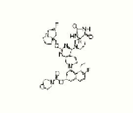 CCc1c(F)ccc2cc(OC(=O)N3CCOCC3)cc(N3CCc4c(nc(OC[C@@]56CCCN5C[C@H](F)C6)nc4N4CCC[C@]5(C4)NC(=O)NC5=O)C3)c12